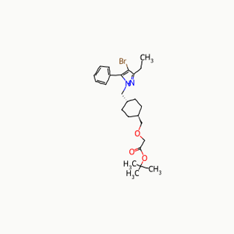 CCc1nn(C[C@H]2CC[C@H](COCC(=O)OC(C)(C)C)CC2)c(-c2ccccc2)c1Br